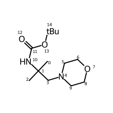 CC(C)(CN1CCOCC1)NC(=O)OC(C)(C)C